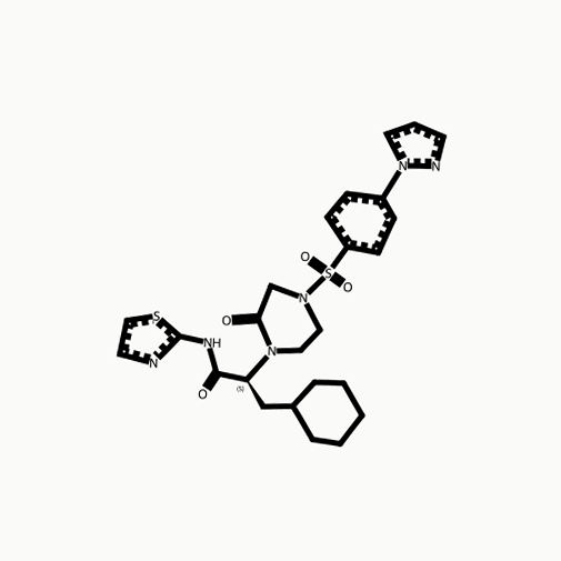 O=C(Nc1nccs1)[C@H](CC1CCCCC1)N1CCN(S(=O)(=O)c2ccc(-n3cccn3)cc2)CC1=O